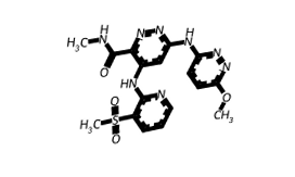 CNC(=O)c1nnc(Nc2ccc(OC)nn2)cc1Nc1ncccc1S(C)(=O)=O